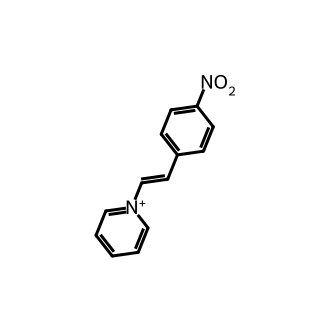 O=[N+]([O-])c1ccc(C=C[n+]2ccccc2)cc1